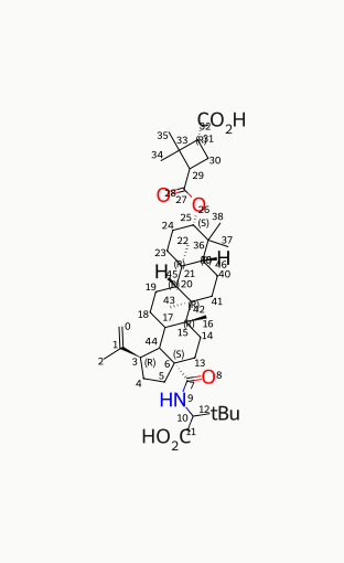 C=C(C)[C@@H]1CC[C@]2(C(=O)NC(C(=O)O)C(C)(C)C)CC[C@]3(C)C(CC[C@@H]4[C@@]5(C)CC[C@H](OC(=O)C6C[C@@H](C(=O)O)C6(C)C)C(C)(C)[C@@H]5CC[C@]43C)C12